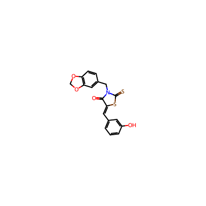 O=C1C(=Cc2cccc(O)c2)SC(=S)N1Cc1ccc2c(c1)OCO2